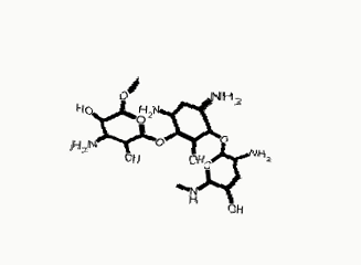 CNC1OC(OC2C(N)CC(N)C(OC3OC(OC)C(O)C(N)C3O)C2O)C(N)CC1O